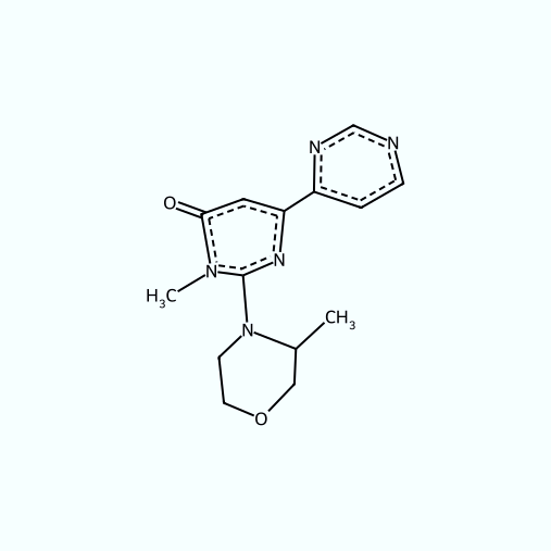 CC1COCCN1c1nc(-c2ccncn2)cc(=O)n1C